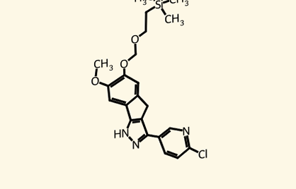 COc1cc2c(cc1OCOCC[Si](C)(C)C)Cc1c(-c3ccc(Cl)nc3)n[nH]c1-2